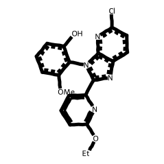 CCOC1=NC(c2nc3ccc(Cl)nc3n2-c2c(O)cccc2OC)=C=C=C1